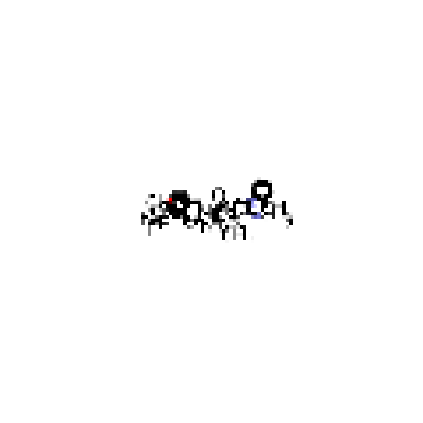 C=c1cccc/c1=C(/C=C\C)Cn1c(=O)c2c(nc(Oc3cccc(OC(F)(F)F)c3)n2Cc2ccc(Cl)cc2)n(C)c1=O